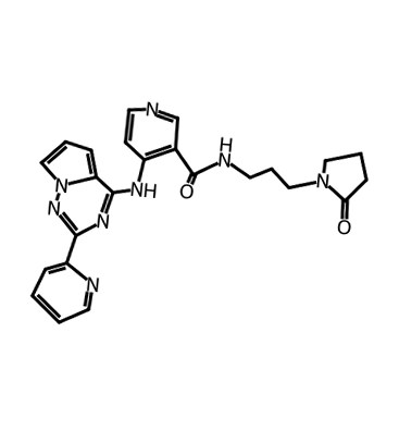 O=C(NCCCN1CCCC1=O)c1cnccc1Nc1nc(-c2ccccn2)nn2cccc12